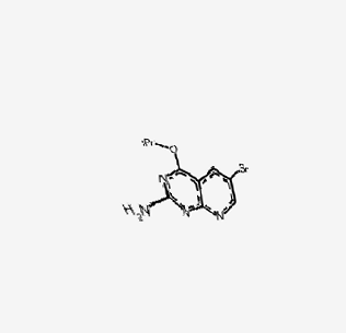 CC(C)Oc1nc(N)nc2ncc(Br)cc12